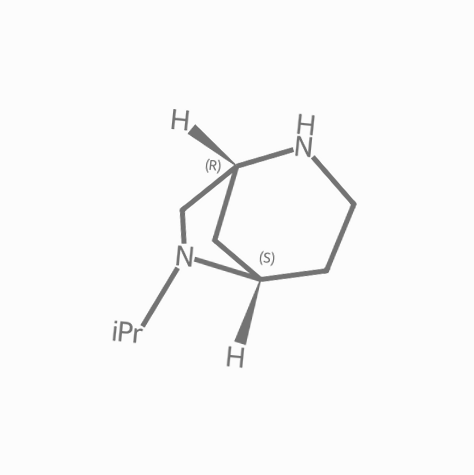 CC(C)N1C[C@H]2C[C@@H]1CCN2